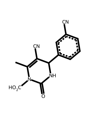 CC1=C(C#N)C(c2cccc(C#N)c2)NC(=O)N1C(=O)O